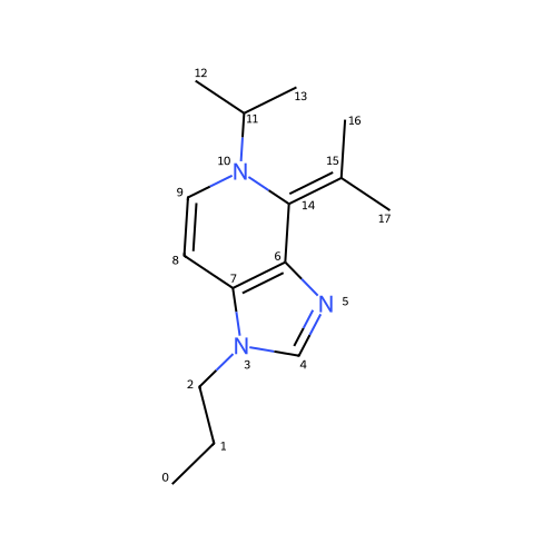 CCCn1cnc2c1C=CN(C(C)C)C2=C(C)C